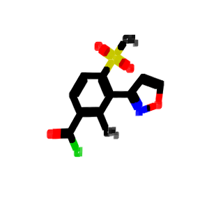 Cc1c(C(=O)Cl)ccc(S(C)(=O)=O)c1-c1ccon1